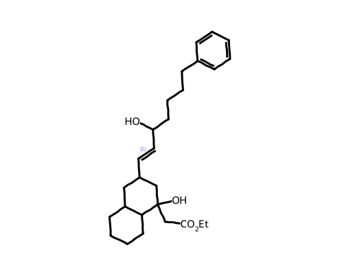 CCOC(=O)CC1(O)CC(/C=C/C(O)CCCCc2ccccc2)CC2CCCCC21